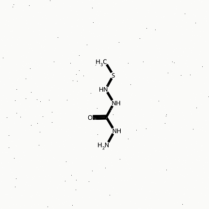 CSNNC(=O)NN